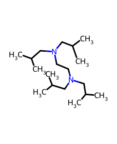 CC(C)CN(CCN(CC(C)C)CC(C)C)CC(C)C